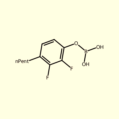 CCCCCc1ccc(OB(O)O)c(F)c1F